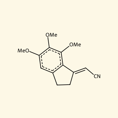 COc1cc2c(c(OC)c1OC)C(=CC#N)CC2